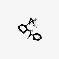 CC[C@]1(N)C[C@@H]1c1ccccc1NC(=O)c1ccccc1